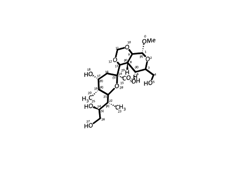 CO[C@@H]1OC(CO)[C@H](O)[C@H]2C1OCOC2[C@]1(C(=O)O)C[C@@H](O)[C@@H](C)C([C@H](C)[C@H](O)CO)O1